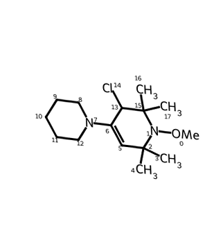 CON1C(C)(C)C=C(N2CCCCC2)C(Cl)C1(C)C